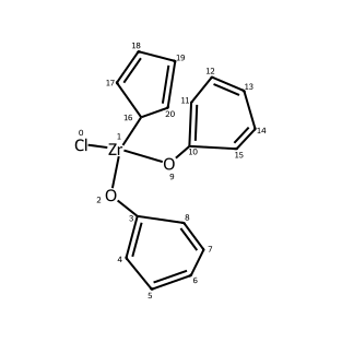 [Cl][Zr]([O]c1ccccc1)([O]c1ccccc1)[CH]1C=CC=C1